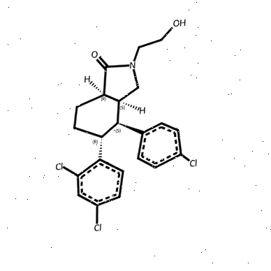 O=C1[C@@H]2CC[C@@H](c3ccc(Cl)cc3Cl)[C@H](c3ccc(Cl)cc3)[C@@H]2CN1CCO